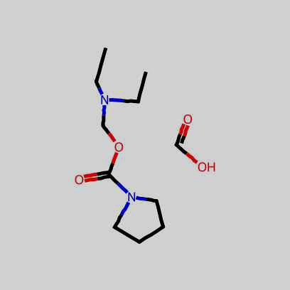 CCN(CC)COC(=O)N1CCCC1.O=CO